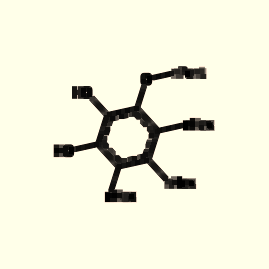 CCCCCCc1c(O)c(O)c(OCCCCC)c(CCCCCC)c1CCCCCC